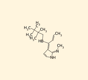 C/C=C/C(BCC(C)(C)C(C)(C)C)=C1/C=CN/C1=N/C